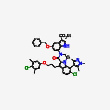 CCOC(=O)c1c[nH]c2c(N3C[C@@H](C)n4c(c(CCCOc5cc(C)c(Cl)c(C)c5)c5ccc(Cl)c(-c6c(C)nn(C)c6C)c54)C3=O)cc(OCc3ccccc3)cc12